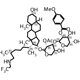 COc1ccc(C(=O)O[C@H]2[C@H](O[C@@H]3[C@@H](OC(C)=O)[C@H](O[C@H]4CC5C6CC[C@H]7C[C@@H](O)CC[C@]7(C)C6CC[C@]5(C)[C@H]4[C@H](C)CCC[C@@H](C)CNCC(F)(F)F)OC[C@@H]3O)OC[C@@H](O)[C@@H]2O)cc1